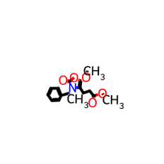 COC(=O)CCc1c(OC)oc(=O)n1C(C)c1ccccc1